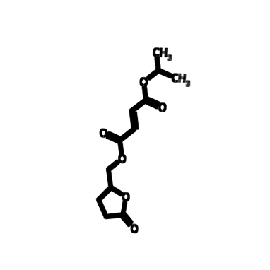 CC(C)OC(=O)/C=C/C(=O)OCC1CCC(=O)O1